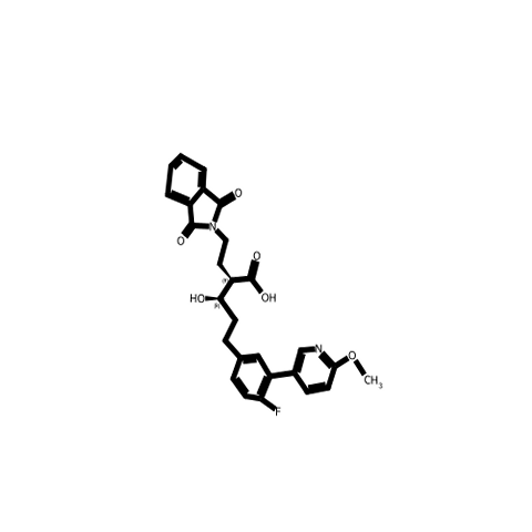 COc1ccc(-c2cc(CC[C@@H](O)[C@@H](CCN3C(=O)c4ccccc4C3=O)C(=O)O)ccc2F)cn1